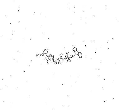 COc1ccc(C)cc1N1CCC(=O)N(CNC(=O)CNC(=O)CNC(=O)OCC2c3ccccc3-c3ccccc32)C1=O